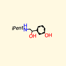 CCCC(C)NCC(O)c1cccc(O)c1